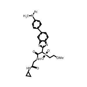 COCCS(=O)(=O)C(C(=O)NCC(=O)NC1CC1)c1nc2ccc(-c3ccc(N(C)C(C)=O)cc3)cc2s1